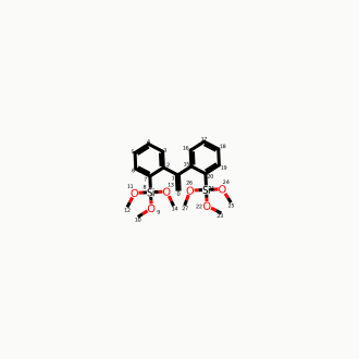 C=C(c1ccccc1[Si](OC)(OC)OC)c1ccccc1[Si](OC)(OC)OC